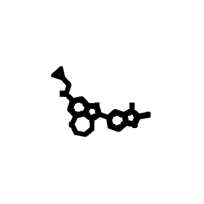 O=c1[nH]c2cc(-c3nc4cc(NCC5CC5)cc5c4n3CCCO5)ccc2o1